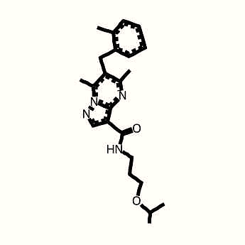 Cc1ccccc1Cc1c(C)nc2c(C(=O)NCCCOC(C)C)cnn2c1C